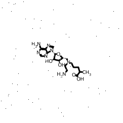 CC(CCCN(CCN)C[C@H]1O[C@@H](n2cnc3c(N)ncnc32)[C@H](O)[C@@H]1O)C(=O)O